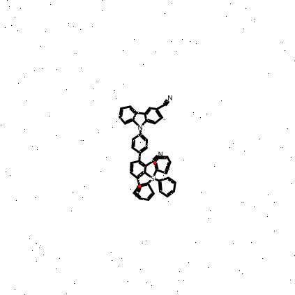 N#Cc1ccc2c(c1)c1ccccc1n2-c1ccc(-c2ccc(C#N)c([Si](c3ccccc3)(c3ccccc3)c3ccccc3)c2C#N)cc1